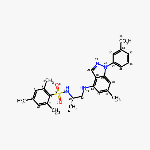 Cc1cc(C)c(S(=O)(=O)N[C@@H](C)CNc2cc(C)cc3c2cnn3-c2cccc(C(=O)O)c2)c(C)c1